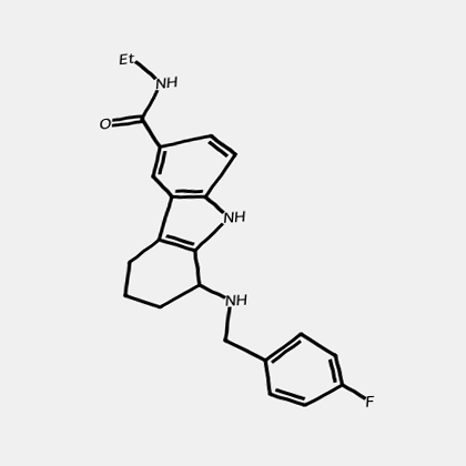 CCNC(=O)c1ccc2[nH]c3c(c2c1)CCCC3NCc1ccc(F)cc1